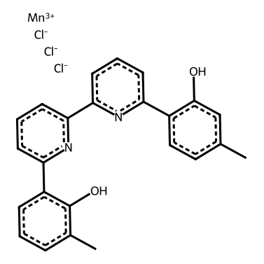 Cc1ccc(-c2cccc(-c3cccc(-c4cccc(C)c4O)n3)n2)c(O)c1.[Cl-].[Cl-].[Cl-].[Mn+3]